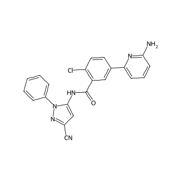 N#Cc1cc(NC(=O)c2cc(-c3cccc(N)n3)ccc2Cl)n(-c2ccccc2)n1